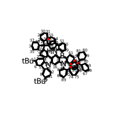 CC(C)(C)c1ccc2c(c1)c1cc(C(C)(C)C)ccc1n2-c1cc2c3c(c1-c1cccc(C(c4ccccc4)(c4ccccc4)c4ccccc4)c1)Nc1c(cccc1-c1ccccc1)B3c1ccc([Si](c3ccccc3)(c3ccccc3)c3ccccc3)cc1N2c1ccccc1-c1ccccc1